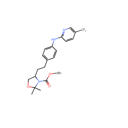 CC(C)(C)OC(=O)N1C(CCc2ccc(Nc3ccc(C(F)(F)F)cn3)cc2)COC1(C)C